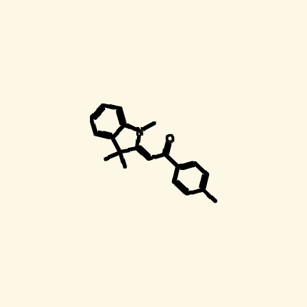 Cc1ccc(C(=O)C=C2N(C)c3ccccc3C2(C)C)cc1